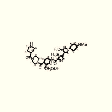 CNc1ccc(-n2cc(-c3cnc(C(=O)Nc4ccc(C(=O)N5CCN(C(=O)C6CCNCC6)CC5)c(C)c4)n3C)c(C(F)(F)F)n2)nc1.O=CO